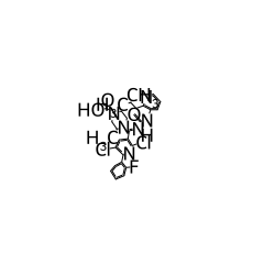 CC(C)Cc1ncccc1NC(=O)N=C(c1cc(Cl)c(-c2ccccc2F)nc1Cl)N1CCN(C(=O)O)C[C@@H]1C